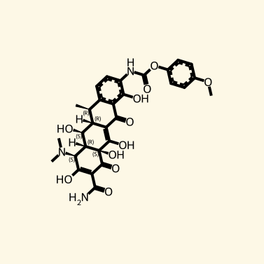 COc1ccc(OC(=O)Nc2ccc3c(c2O)C(=O)C2=C(O)[C@]4(O)C(=O)C(C(N)=O)=C(O)[C@@H](N(C)C)[C@@H]4[C@@H](O)[C@@H]2[C@H]3C)cc1